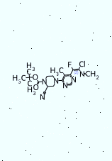 C=N/C(Cl)=C(/F)c1ncnc(N2CCN(C(=O)OC(C)(C)C)C(C#N)C2)c1C